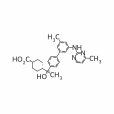 Cc1cc(Nc2nccc(C)n2)cc(-c2ccc([C@@](C)(O)[C@H]3CC[C@H](C(=O)O)CC3)cc2)c1